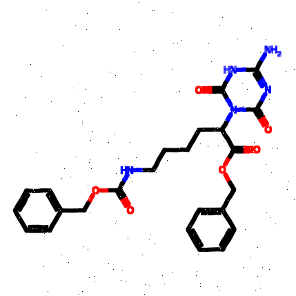 Nc1nc(=O)n(C(CCCCNC(=O)OCc2ccccc2)C(=O)OCc2ccccc2)c(=O)[nH]1